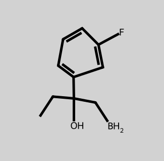 BCC(O)(CC)c1cccc(F)c1